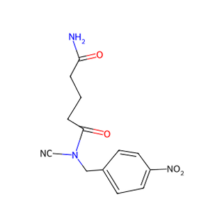 N#CN(Cc1ccc([N+](=O)[O-])cc1)C(=O)CCCC(N)=O